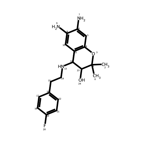 CC1(C)Oc2cc(N)c(N)cc2C(NCCc2ccc(F)cc2)C1O